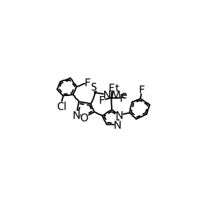 CCC(F)(F)c1c(-c2onc(-c3c(F)cccc3Cl)c2C(=S)NC)cnn1-c1cccc(F)c1